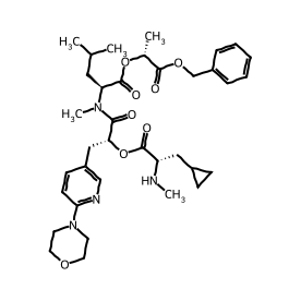 CN[C@@H](CC1CC1)C(=O)O[C@H](Cc1ccc(N2CCOCC2)nc1)C(=O)N(C)[C@@H](CC(C)C)C(=O)O[C@H](C)C(=O)OCc1ccccc1